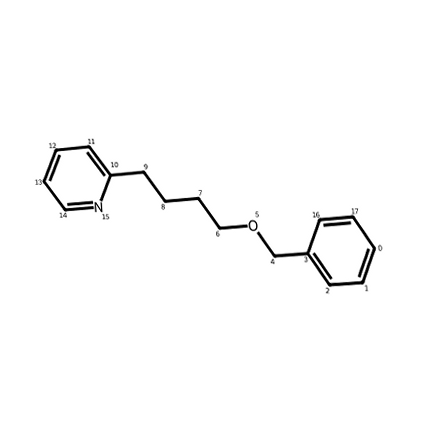 c1ccc(COCCCCc2ccccn2)cc1